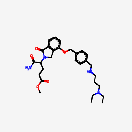 CCN(CC)CCCNCc1ccc(COc2cccc3c2CN(C(CCC(=O)OC)C(N)=O)C3=O)cc1